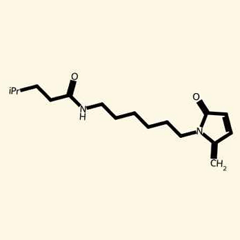 C=C1C=CC(=O)N1CCCCCCNC(=O)CCC(C)C